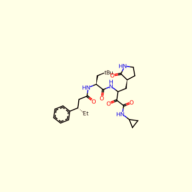 CC[C@@H](CC(=O)N[C@@H](CC(C)(C)C)C(=O)NC(C[C@@H]1CCNC1=O)C(=O)C(=O)NC1CC1)c1ccccc1